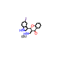 CC(C)(C)NC=C1C(=O)c2ccccc2OC1c1c[nH]c2ccc(I)cc12